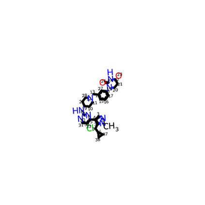 Cn1ncc(-c2nc(NC3CCN(Cc4cccc(N5CCC(=O)NC5=O)c4)CC3)ncc2Cl)c1CC1CC1